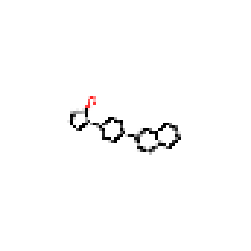 O=C1C=CC=C1c1ccc(-c2ccc3ccccc3c2)cc1